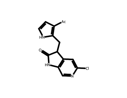 CC(=O)c1cc[nH]c1CC1C(=O)Nc2cnc(Cl)cc21